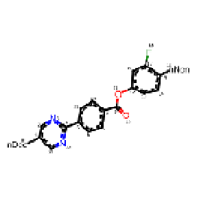 CCCCCCCCCCc1cnc(-c2ccc(C(=O)Oc3ccc(CCCCCCCCC)c(F)c3)cc2)nc1